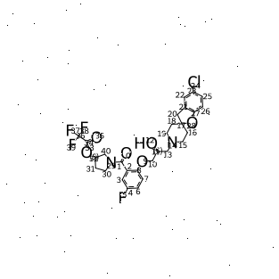 O=C(c1cc(F)ccc1OC[C@@H](O)CN1CCC2(CC1)Cc1cc(Cl)ccc1O2)N1CC[C@H](OC(=O)C(F)(F)F)C1